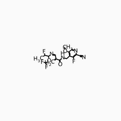 C=C(/C=N\C(OC(F)F)C(C)F)C(=O)NCc1c(OC)cnc(C#N)c1F